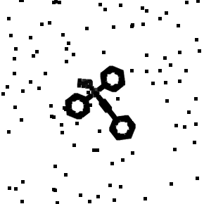 O[Si](C#Cc1ccccc1)(c1ccccc1)c1ccccc1